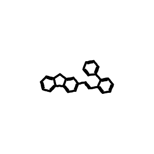 C(=Cc1ccccc1-c1ccccc1)c1ccc2c(c1)Cc1ccccc1-2